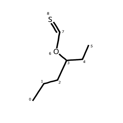 CCCC(CC)OC=S